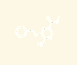 COC(=O)c1cnc(N)c(OCc2ccccc2)n1